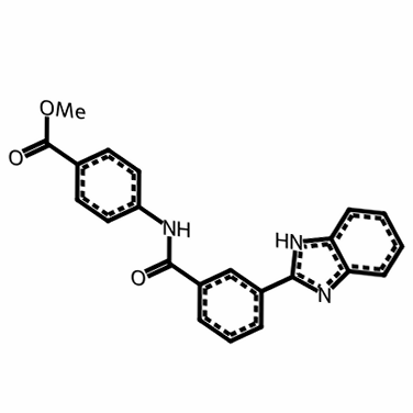 COC(=O)c1ccc(NC(=O)c2cccc(-c3nc4ccccc4[nH]3)c2)cc1